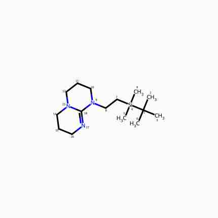 CC(C)(C)[Si](C)(C)CCN1CCCN2CCCN=C21